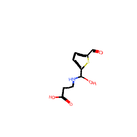 O=Cc1ccc(C(O)NCCC(=O)O)s1